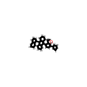 c1ccc(-c2ccc(-c3c4ccccc4c(-c4cccc5ccccc45)c4ccccc34)c3ccoc23)cc1